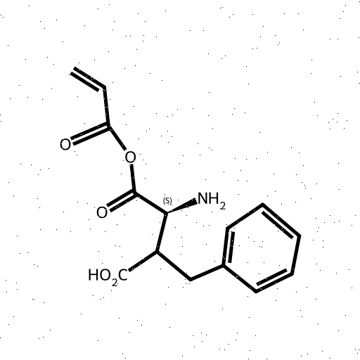 C=CC(=O)OC(=O)[C@@H](N)C(Cc1ccccc1)C(=O)O